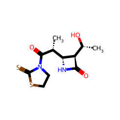 C[C@@H](O)[C@H]1C(=O)N[C@@H]1[C@@H](C)C(=O)N1CCSC1=S